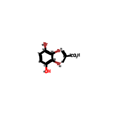 C=C(C)C(=O)O.Oc1ccc(Br)c(Br)c1Br